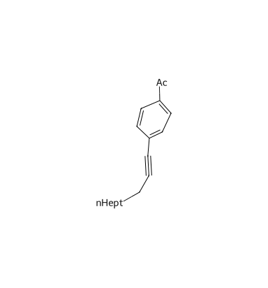 CCCCCCCCC#Cc1ccc(C(C)=O)cc1